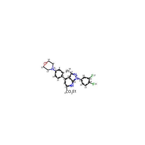 CCOC(=O)c1cc(-c2ccc(N3CCOCC3)cc2)c2c(C(C)C)nn(-c3ccc(F)c(F)c3)c2n1